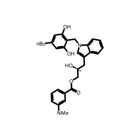 CCCCc1cc(O)c(Cn2cc(C[C@H](O)COC(=O)c3cccc(NC)c3)c3ccccc32)c(O)c1